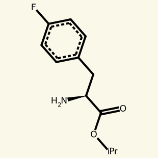 CC(C)OC(=O)[C@@H](N)Cc1ccc(F)cc1